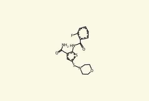 NC(=O)c1cc(SN2CCOCC2)sc1NC(=O)c1ccccc1F